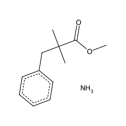 COC(=O)C(C)(C)Cc1ccccc1.N